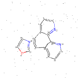 c1cnc2c(c1)ccc1cccnc12.c1cocn1